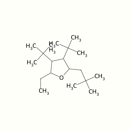 CCC1OC(CC(C)(C)C)C(C(C)(C)C)C1C(C)(C)C